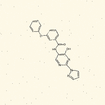 O=C(Nc1cnc(-n2cccn2)nc1O)c1cccc(Oc2ccccc2)c1